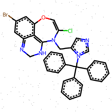 ClC1=COc2cc(Br)cc3c2=C(NCN=3)N1Cc1cncn1C(c1ccccc1)(c1ccccc1)c1ccccc1